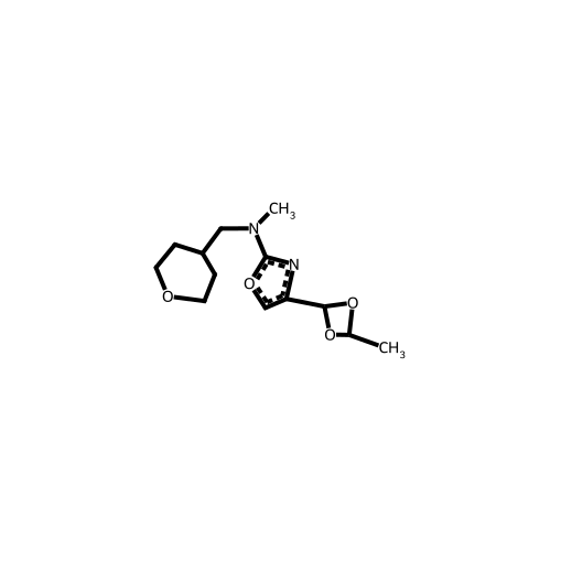 CC1OC(c2coc(N(C)CC3CCOCC3)n2)O1